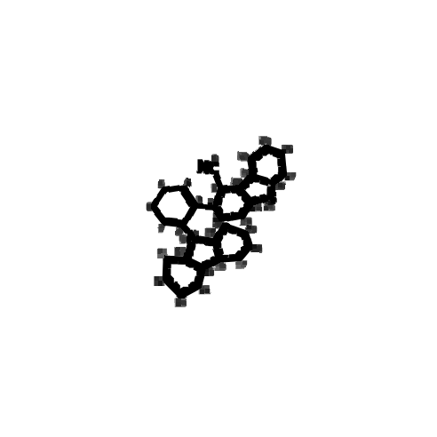 N#Cc1c(C2=CCCC=C2n2c3ccccc3c3ccccc32)ccc2sc3ccccc3c12